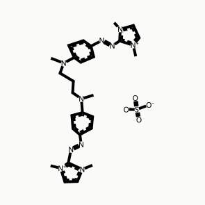 CN(CCCN(C)c1ccc(N=Nc2n(C)cc[n+]2C)cc1)c1ccc(N=Nc2n(C)cc[n+]2C)cc1.O=S(=O)([O-])[O-]